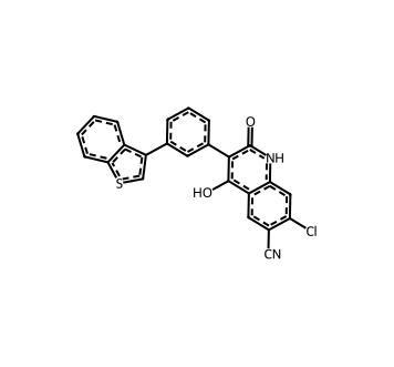 N#Cc1cc2c(O)c(-c3cccc(-c4csc5ccccc45)c3)c(=O)[nH]c2cc1Cl